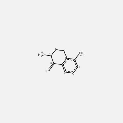 Cc1cccc2c1CCN(C)C2=O